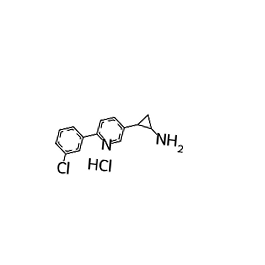 Cl.NC1CC1c1ccc(-c2cccc(Cl)c2)nc1